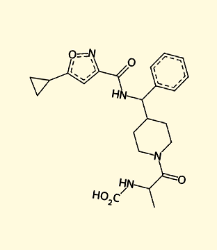 CC(NC(=O)O)C(=O)N1CCC(C(NC(=O)c2cc(C3CC3)on2)c2ccccc2)CC1